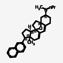 CCCN(C)[C@H]1CCC2=CC3=CC[C@]4(C)[C@@H](c5ccc6ccccc6c5)CC[C@H]4[C@@]34CC[C@]2(C1)O4